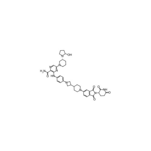 NC(=O)c1ncc(N2CCC[C@@H](N3CCCC3O)C2)nc1Nc1ccc(N2CC(C3CCN(c4ccc5c(c4)C(=O)N(C4CCC(=O)NC4=O)C5=O)CC3)C2)cc1